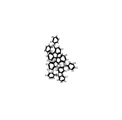 c1ccc(N(c2ccccc2)c2cccc3c2-c2ccccc2C32c3cccc(N(c4ccccc4)c4ccc5c(c4)c4ccccc4n5-c4ccccc4)c3-c3sc4ccccc4c32)cc1